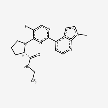 Cn1ccc2c(-c3ncc(F)c(N4CCC[C@H]4C(=O)NCC(F)(F)F)n3)ccnc21